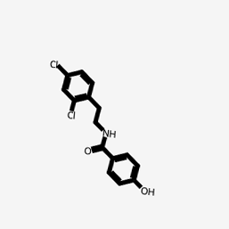 O=C(NCCc1ccc(Cl)cc1Cl)c1ccc(O)cc1